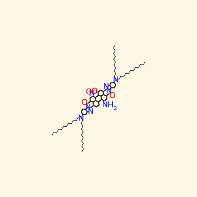 CCCCCCCCCCCCN(CCCCCCCCCCCC)c1ccc2c(c1)nc1c3ccc4c5c([N+](=O)[O-])cc6c(=O)n7c8ccc(N(CCCCCCCCCCCC)CCCCCCCCCCCC)cc8nc7c7ccc(c8c(N)cc(c(=O)n21)c3c48)c5c67